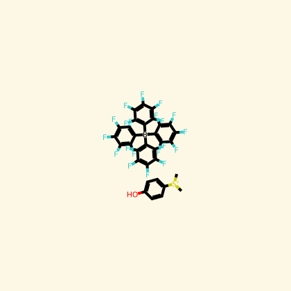 C[S+](C)c1ccc(O)cc1.Fc1c(F)c(F)c([B-](c2c(F)c(F)c(F)c(F)c2F)(c2c(F)c(F)c(F)c(F)c2F)c2c(F)c(F)c(F)c(F)c2F)c(F)c1F